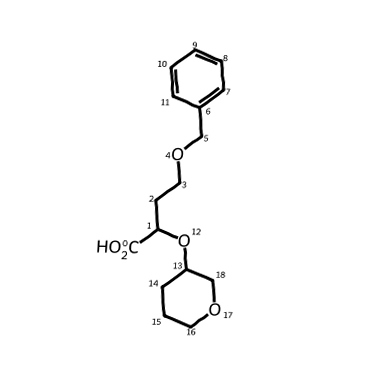 O=C(O)C(CCOCc1ccccc1)OC1CCCOC1